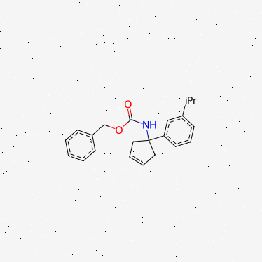 CC(C)c1cccc(C2(NC(=O)OCc3ccccc3)CC=CC2)c1